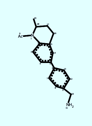 CC(=O)N1c2ccc(-c3ccc(CN)cc3)cc2CCC1C